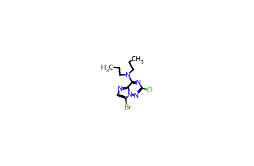 CCCN(CCC)c1nc(Cl)nn2c(Br)cnc12